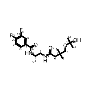 C[C@@H](CNC(=O)CC(C)(C)COC(C)(C)O)NC(=O)c1ccc(F)c(F)c1